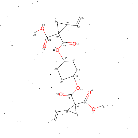 C=CC1CC1(C(=O)OC)C(=O)OC1CCC(OC(=O)C2(C(=O)OC)CC2C=C)CC1